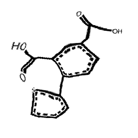 O=C(O)c1ccc(-c2cccs2)c(C(=O)O)c1